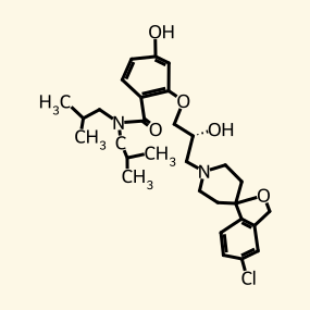 CC(C)CN(CC(C)C)C(=O)c1ccc(O)cc1OC[C@H](O)CN1CCC2(CC1)OCc1cc(Cl)ccc12